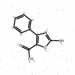 CC(=O)c1oc(S)nc1-c1ccccc1